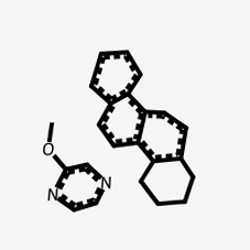 COc1cnccn1.c1ccc2c(c1)ccc1c3c(ccc12)CCCC3